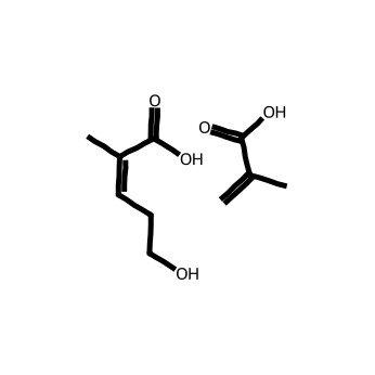 C=C(C)C(=O)O.CC(=CCCO)C(=O)O